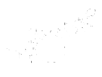 C=CCNC(=O)C(=O)[C@@H]1CCCCCCCCC[C@H](NC(=O)N[C@H](C(=O)N(C)S(=O)(=O)c2cccs2)C(C)(C)C)C(=O)N2C[C@H]3[C@@H]([C@H]2C(=O)N1)C3(C)C